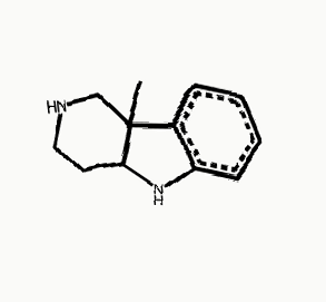 CC12CNCCC1Nc1ccccc12